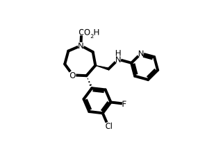 O=C(O)N1CCO[C@@H](c2ccc(Cl)c(F)c2)[C@H](CNc2ccccn2)C1